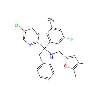 Cc1cc(CNC(Cc2ccccc2)(c2cc(F)cc(C(F)(F)F)c2)c2ccc(Cl)cn2)oc1C